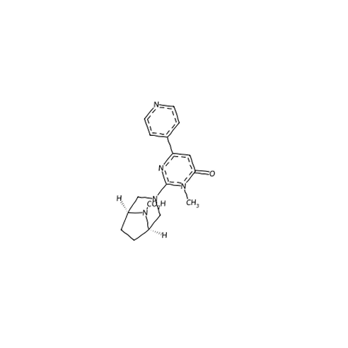 Cn1c(N2C[C@H]3CC[C@@H](C2)N3C(=O)O)nc(-c2ccncc2)cc1=O